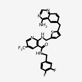 Nc1ncnc2ccc(Cc3ccc(CNc4ncc(C(F)(F)F)cc4C(=O)NCc4ccc(F)c(F)c4)s3)cc12